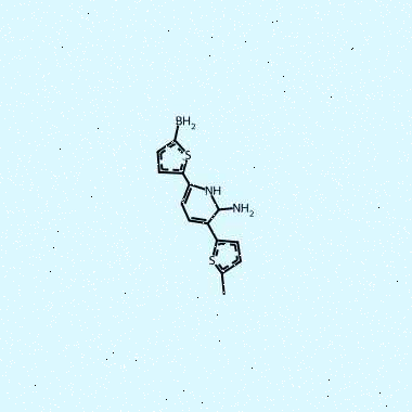 Bc1ccc(C2=CC=C(c3ccc(C)s3)C(N)N2)s1